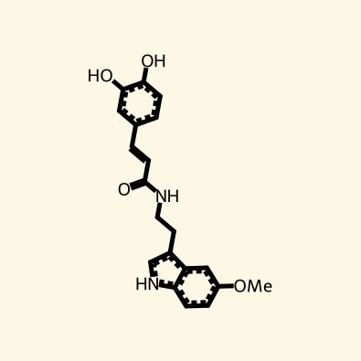 COc1ccc2[nH]cc(CCNC(=O)/C=C/c3ccc(O)c(O)c3)c2c1